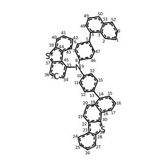 c1ccc2c(-c3ccc(N(c4ccc(-c5cccc6c5ccc5c7ccccc7sc65)cc4)c4cccc5sc6ccccc6c45)cc3)cccc2c1